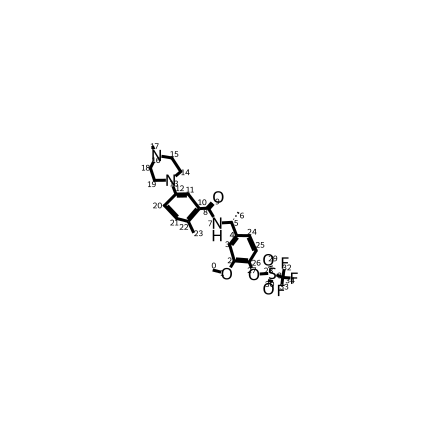 COc1cc([C@@H](C)NC(=O)c2cc(N3CCN(C)CC3)ccc2C)ccc1OS(=O)(=O)C(F)(F)F